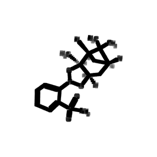 CC1(C)[C@@H]2C[C@H]3OB(c4ccccc4S(N)(=O)=O)O[C@@]3(C)[C@H]1C2